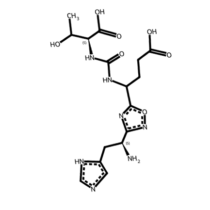 CC(O)[C@H](NC(=O)NC(CCC(=O)O)c1nc([C@@H](N)Cc2cnc[nH]2)no1)C(=O)O